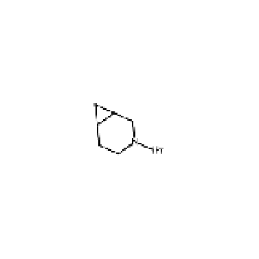 CC(C)N1CCC2CC2C1